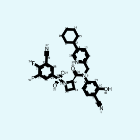 N#Cc1ccc(N(Cc2ccc(C3CCCCC3)cn2)C(=O)[C@H]2CCN2S(=O)(=O)c2cc(F)c(F)c(C#N)c2)cc1O